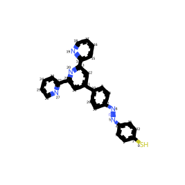 Sc1ccc(/N=N/c2ccc(-c3cc(-c4ccccn4)nc(-c4ccccn4)c3)cc2)cc1